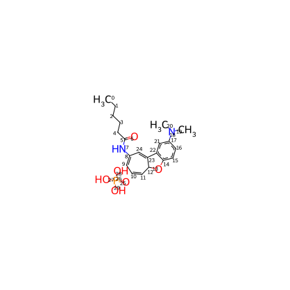 CCCCCC(=O)NC1=CC=CC2Oc3ccc(N(C)C)cc3C2=C1.O=P(O)(O)O